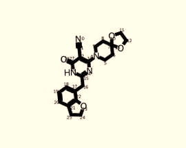 N#Cc1c(N2CCC3(CC2)OCCO3)nc(Cc2cccc3c2OCC3)[nH]c1=O